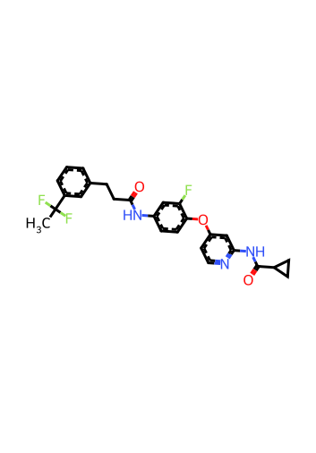 CC(F)(F)c1cccc(CCC(=O)Nc2ccc(Oc3ccnc(NC(=O)C4CC4)c3)c(F)c2)c1